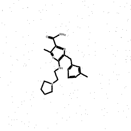 CNC(=O)c1nc(Cc2cccc(C)c2)c(NCCN2CCCC2)nc1C